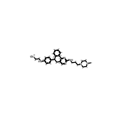 CN1CCN(CCCNc2ncc3c(n2)-c2ccccc2C(c2ccc(NCCC(C)(C)C)cc2)C3)CC1